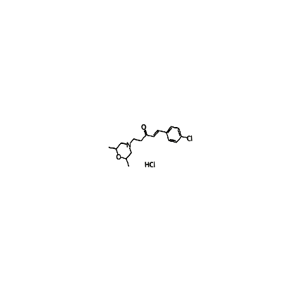 CC1CN(CCC(=O)C=Cc2ccc(Cl)cc2)CC(C)O1.Cl